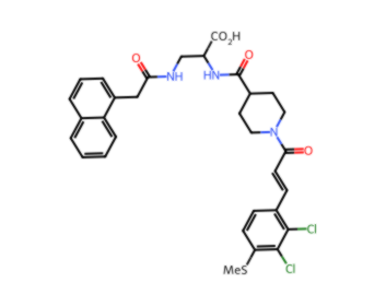 CSc1ccc(C=CC(=O)N2CCC(C(=O)NC(CNC(=O)Cc3cccc4ccccc34)C(=O)O)CC2)c(Cl)c1Cl